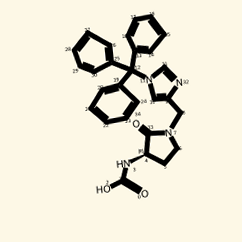 O=C(O)N[C@@H]1CCN(Cc2cn(C(c3ccccc3)(c3ccccc3)c3ccccc3)cn2)C1=O